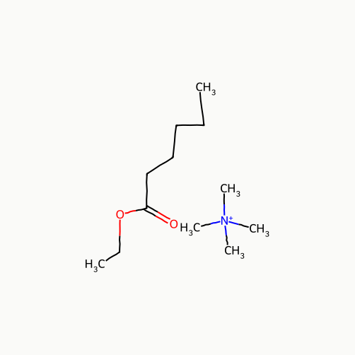 CCCCCC(=O)OCC.C[N+](C)(C)C